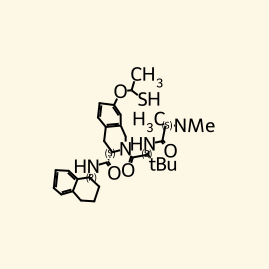 CN[C@@H](C)C(=O)N[C@H](C(=O)N1Cc2cc(OC(C)S)ccc2C[C@H]1C(=O)N[C@@H]1CCCc2ccccc21)C(C)(C)C